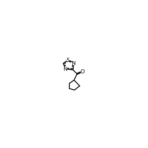 O=C(c1ncsn1)C1CCCC1